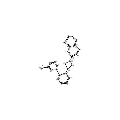 Cc1cncc(-c2nccnc2C2CN(c3ccc4ccccc4n3)C2)c1